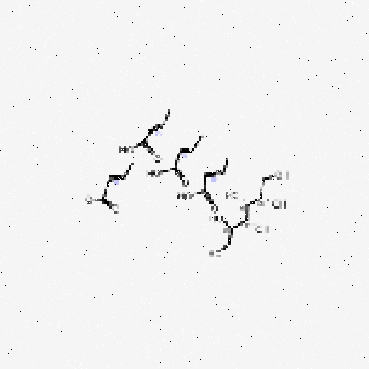 C/C=C/C(=O)O.C/C=C/C(=O)O.C/C=C/C(=O)O.C/C=C/C(=O)O.OC[C@@H](O)[C@@H](O)[C@H](O)[C@@H](O)CO